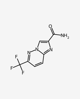 NC(=O)c1cn2nc(C(F)(F)F)ccc2n1